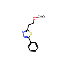 O=COCCc1nnc(-c2ccccc2)s1